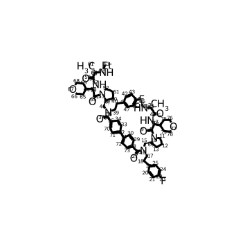 CCN[C@@H](C)C(=O)N[C@H](C(=O)N1CCC[C@H]1CN(CCc1ccc(F)cc1)C(=O)c1ccc(-c2ccc(C(=O)N(CCc3ccc(F)cc3)C[C@@H]3CCCN3C(=O)[C@@H](NC(=O)[C@H](C)NCC)C3CCOCC3)cc2)cc1)C1CCOCC1